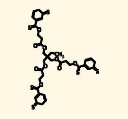 CCC(COC(=O)CCOC(=S)C1=CC(=S)CC=C1)(COC(=O)CCOC(=S)C1=CC(=S)CC=C1)COC(=O)CCOC(=S)C1=CC(=S)CC=C1